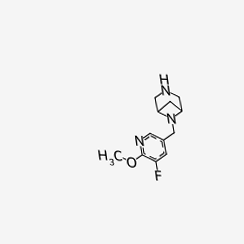 COc1ncc(CN2C3CNCC2C3)cc1F